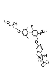 Cc1cc(OCCC(O)CO)cc(C)c1-c1cc(COc2cc3c(cn2)[C@H]2[C@@H](C3)[C@@H]2C(=O)[O-])c(F)cc1F.[Na+]